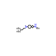 CCCCC(CCCC)CCCN(C)C1CCC2(CC1)CC(NC(C)CC)C2